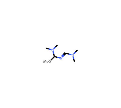 COC(N=CN(C)C)N(C)C